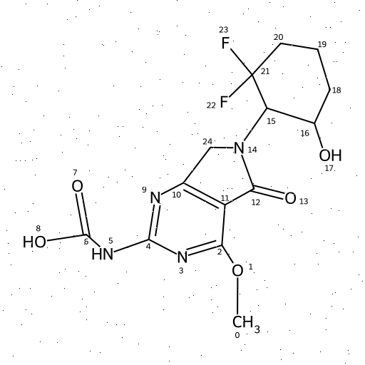 COc1nc(NC(=O)O)nc2c1C(=O)N(C1C(O)CCCC1(F)F)C2